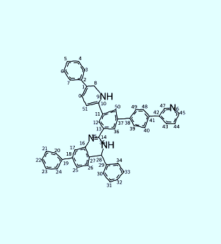 C1=C(c2ccccc2)CNC(c2cc(C3=Nc4cc(-c5ccccc5)ccc4C(c4ccccc4)N3)cc(-c3ccc(-c4cccnc4)cc3)c2)=C1